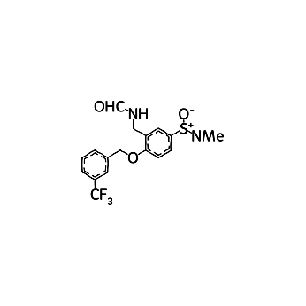 CN[S+]([O-])c1ccc(OCc2cccc(C(F)(F)F)c2)c(CNC=O)c1